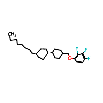 CCCCCCCC[C@H]1CC[C@H](C2CCC(COc3ccc(F)c(F)c3F)CC2)CC1